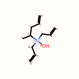 C=CCC(C)[N+](O)(CC=C)CC=C